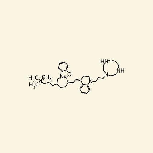 C[N+](C)(C)CCCC1CC/C(=C/C=C2/C=CN(CCCN3CCNCCCNCC3)c3ccccc32)c2oc3ccccc3[n+]2C1